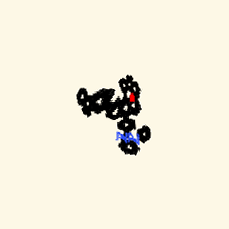 CC1(C)c2ccccc2-c2ccc(-c3ccc4c(-c5ccc(-c6nc7ccccc7n6-c6ccccc6)cc5)c5ccccc5c(-c5cccc6c5-c5ccccc5C6(C)C)c4c3)cc21